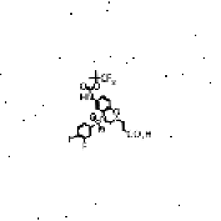 CC(C)(OC(=O)Nc1ccc2c(c1)N(S(=O)(=O)c1ccc(F)c(F)c1)CC(CCC(=O)O)O2)C(F)(F)F